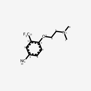 CN(C)CCOc1ccc(C#N)cc1C(F)(F)F